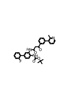 Cc1ncccc1-c1cccc(C(=O)CC(=O)Nc2cc(-c3ccccc3F)ccc2NC(=O)OC(C)(C)C)c1